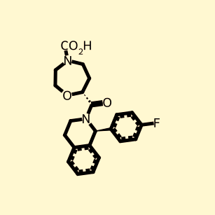 O=C(O)N1CCO[C@@H](C(=O)N2CCc3ccccc3[C@@H]2c2ccc(F)cc2)CC1